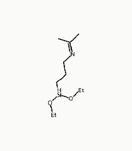 CCO[SiH](CCCN=C(C)C)OCC